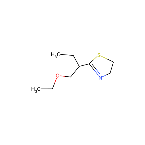 CCOCC(CC)C1=NCCS1